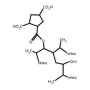 CCCCCCCCC(CC(C(C)CCCCCC)C(OC(=O)C1CC(C(=O)O)CC1C(=O)O)C(C)CCCCCC)C(C)CCCCCC